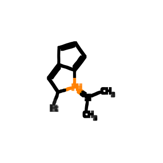 CCC1C=C2C=CC=C2[PH]1=[Si](C)C